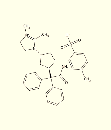 CC1=[N+](C)CCN1[C@@H]1CC[C@@H](C(C(N)=O)(c2ccccc2)c2ccccc2)C1.Cc1ccc(S(=O)(=O)[O-])cc1